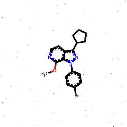 COc1nccc2c(C3CCCC3)nn(-c3ccc(Br)cc3)c12